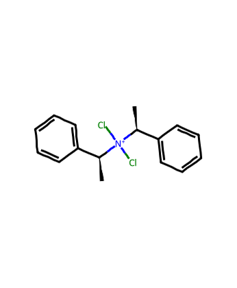 C[C@@H](c1ccccc1)[N+](Cl)(Cl)[C@@H](C)c1ccccc1